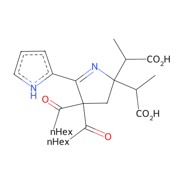 CCCCCCC(=O)C1(C(=O)CCCCCC)CC(C(C)C(=O)O)(C(C)C(=O)O)N=C1c1ccc[nH]1